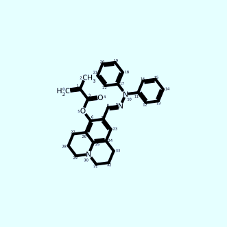 C=C(C)C(=O)Oc1c(/C=N/N(c2ccccc2)c2ccccc2)cc2c3c1CCCN3CCC2